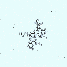 CCOc1cc(CCN(CC(=O)OC)Cc2ccccc2)c(OCC)c(OCC)c1OCc1cccc(F)c1